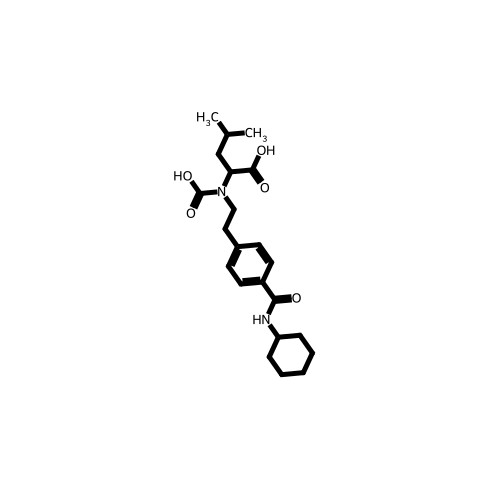 CC(C)CC(C(=O)O)N(CCc1ccc(C(=O)NC2CCCCC2)cc1)C(=O)O